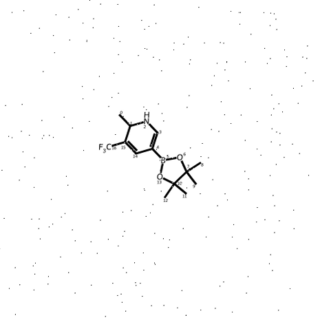 CC1NC=C(B2OC(C)(C)C(C)(C)O2)C=C1C(F)(F)F